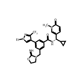 CCn1cc(-c2cc(CN3CCOC3=N)cc(C(=O)N[C@H](c3ccc(=O)n(C)c3)C3CC3)c2)c(C(F)(F)F)n1